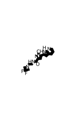 Cn1nc(C(=O)NCCN2CC(F)(F)C2)cc1-c1cc2cccnc2[nH]1